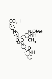 COc1nc2cc(C[C@@H](OC(=O)N3CCC(N4CCc5ccccc5NC4=O)CC3)C(=O)N3CCN(C4CCN(CC(=O)O)CC4)CC3)cc(C)c2[nH]1